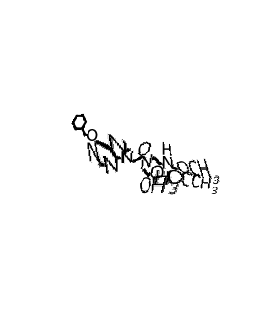 CC(C)(C)OC(=O)NCCN(CC(=O)O)C(=O)Cn1cnc2c(OCC3CCCCC3)ncnc21